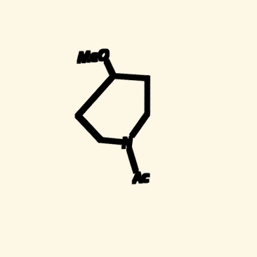 [CH2]OC1CCN(C(C)=O)CC1